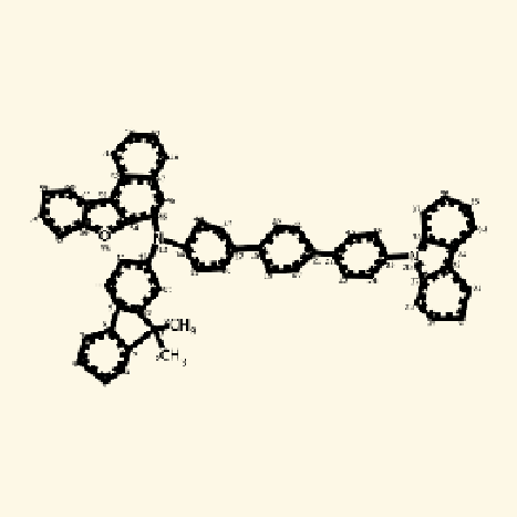 CC1(C)c2ccccc2-c2ccc(N(c3ccc(-c4ccc(-c5ccc(-n6c7ccccc7c7ccccc76)cc5)cc4)cc3)c3cc4ccccc4c4c3oc3ccccc34)cc21